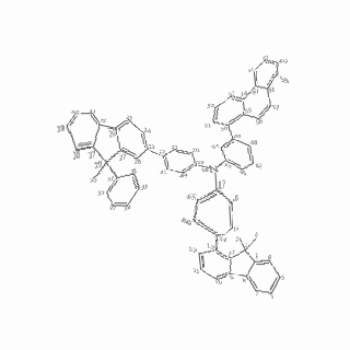 CC1(C)c2ccccc2-c2cccc(-c3ccc(N(c4ccc(-c5ccc6c(c5)C(C)(c5ccccc5)c5ccccc5-6)cc4)c4cccc(-c5cccc6c5ccc5ccccc56)c4)cc3)c21